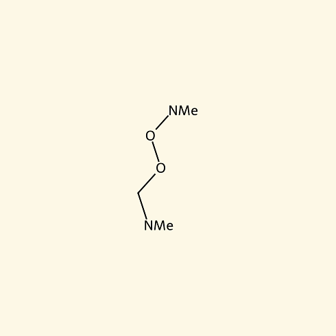 CNCOONC